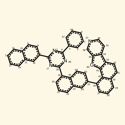 c1ccc(-c2nc(-c3ccc4ccccc4c3)nc(-c3cccc4cc(-c5cccc6ccc7c8ccncc8oc7c56)ccc34)n2)cc1